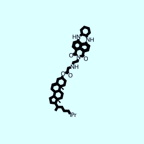 CC(C)CCCC(C)C1CCC2C3CC=C4CC(OC(=O)CNCCN5C(=O)c6ccc7c8c(ccc(c68)C5=O)NC5CCCCC5N7)CC[C@]4(C)C3CC[C@]12C